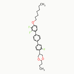 CCCCCCCOc1ccc(-c2ccc(-c3ccc(C4COC(CCC)OC4)c(F)c3)cc2)c(F)c1F